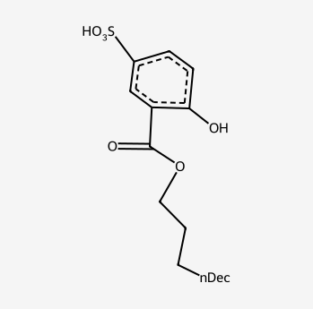 CCCCCCCCCCCCCOC(=O)c1cc(S(=O)(=O)O)ccc1O